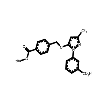 CC(C)(C)OC(=O)c1ccc(COc2cc(C(F)(F)F)nn2-c2cccc(C(=O)O)c2)cc1